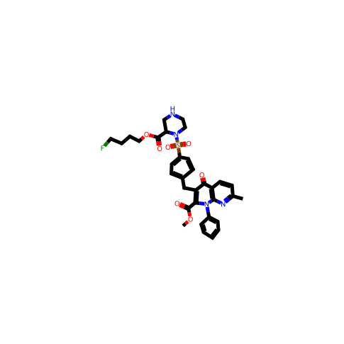 COC(=O)c1c(Cc2ccc(S(=O)(=O)N3CCNCC3C(=O)OCCCCF)cc2)c(=O)c2ccc(C)nc2n1-c1ccccc1